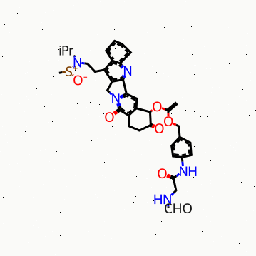 C=C(OCc1ccc(NC(=O)CNC=O)cc1)OC1C(=O)CCc2c1cc1n(c2=O)Cc2c-1nc1ccccc1c2CCN(C(C)C)[S+](C)[O-]